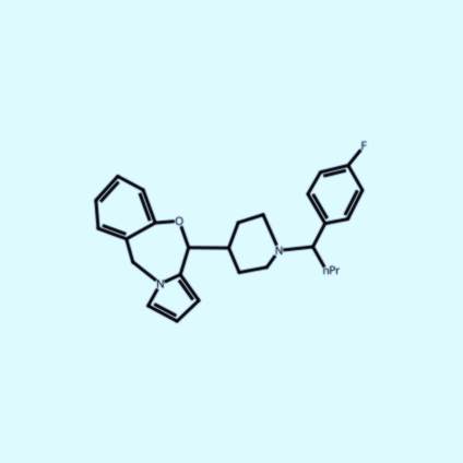 CCCC(c1ccc(F)cc1)N1CCC(C2Oc3ccccc3Cn3cccc32)CC1